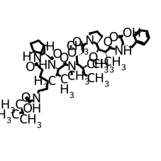 CC[C@H](C)[C@@H]([C@@H](CC(=O)N1CCC[C@H]1[C@H](OC)[C@@H](C)C(=O)N[C@@H](Cc1ccccc1)C(=O)O)OC)N(C)C(=O)[C@@H](NC(=O)[C@@H]1[C@H]2CC[C@H](C2)N1C(=O)CCCCCNC(=O)OC(C)(C)C)C(C)C